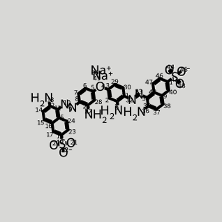 Nc1cc(Oc2ccc(N=Nc3c(N)ccc4cc(S(=O)(=O)[O-])ccc34)c(N)c2)ccc1N=Nc1c(N)ccc2cc(S(=O)(=O)[O-])ccc12.[Na+].[Na+]